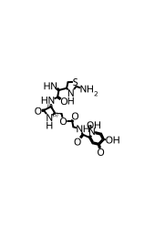 N=C(C(=O)N[C@@H]1C(=O)N[C@@H]1COC(=O)CNC(=O)c1cc(=O)c(O)cn1O)C1CSC(N)N1